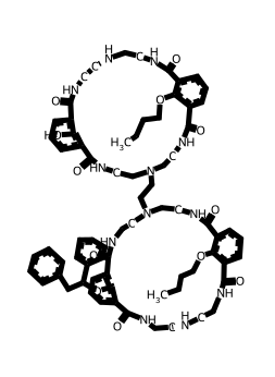 CCCCOc1c2cccc1C(=O)NCCN(CCN1CCNC(=O)c3cccc(c3OCCCC)C(=O)NCCNCCNC(=O)c3cccc(c3OC(Cc3ccccc3)c3ccccc3)C(=O)NCC1)CCNC(=O)c1cccc(c1O)C(=O)NCCNCCNC2=O